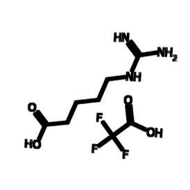 N=C(N)NCCCCC(=O)O.O=C(O)C(F)(F)F